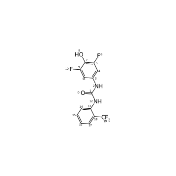 O=C(Nc1cc(F)c(O)c(F)c1)Nc1ccccc1C(F)(F)F